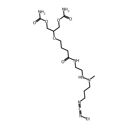 CCN=C=NCCCN(C)NCCNC(=O)CCCOC(COC(N)=O)COC(N)=O